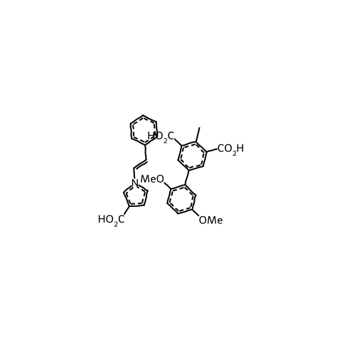 COc1ccc(OC)c(-c2cc(C(=O)O)c(C)c(C(=O)O)c2)c1.O=C(O)c1ccn(C=Cc2ccccc2)c1